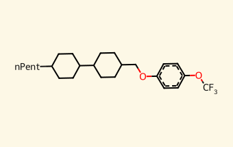 CCCCCC1CCC(C2CCC(COc3ccc(OC(F)(F)F)cc3)CC2)CC1